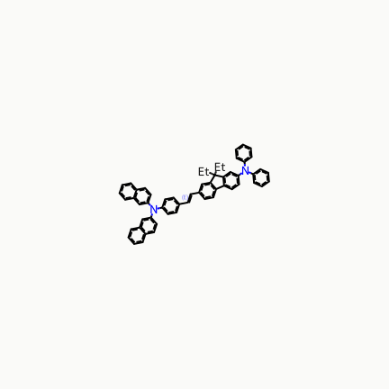 CCC1(CC)c2cc(/C=C/c3ccc(N(c4ccc5ccccc5c4)c4ccc5ccccc5c4)cc3)ccc2-c2ccc(N(c3ccccc3)c3ccccc3)cc21